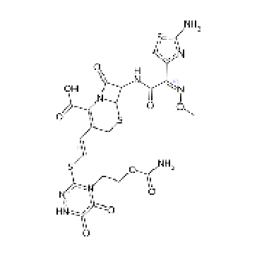 CO/N=C(\C(=O)NC1C(=O)N2C(C(=O)O)=C(/C=C/Sc3n[nH]c(=O)c(=O)n3CCOC(N)=O)CSC12)c1csc(N)n1